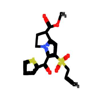 C=CCS(=O)(=O)c1cc2n(c1C(=O)c1cccs1)CCC2C(=O)OC